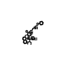 CCC(CC)C(=O)N1CCC[C@H]1C(=O)N[C@H](Cc1ccc2ccccc2c1)C(=O)NCCCNCCOc1ccccc1.Cl